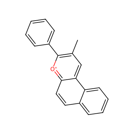 Cc1cc2c(ccc3ccccc32)[o+]c1-c1ccccc1